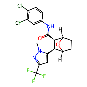 Cn1nc(C(F)(F)F)cc1[C@H]1[C@@H](C(=O)Nc2ccc(Cl)c(Cl)c2)[C@H]2CC[C@@H]1O2